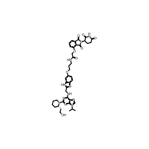 CC(C)n1cnc2c(NCc3nc4ccc(OCCCNC(=O)COc5cccc6c5C(=O)N(C5CCC(=O)NC5=O)C6=O)cc4[nH]3)nc(N3CCCC[C@H]3CCO)nc21